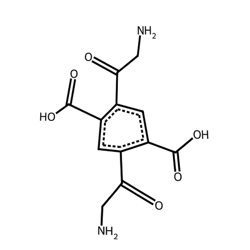 NCC(=O)c1cc(C(=O)O)c(C(=O)CN)cc1C(=O)O